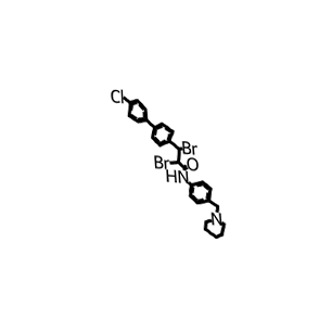 O=C(Nc1ccc(CN2CCCCC2)cc1)C(Br)C(Br)c1ccc(-c2ccc(Cl)cc2)cc1